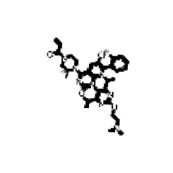 C=CC(=O)N1CCN(c2nc(=O)n(-c3c(C(C)C)nc(OCCN(C)C)nc3C(C)C)c3nc(-c4ccccc4F)c(Cl)cc23)[C@@H](C)C1